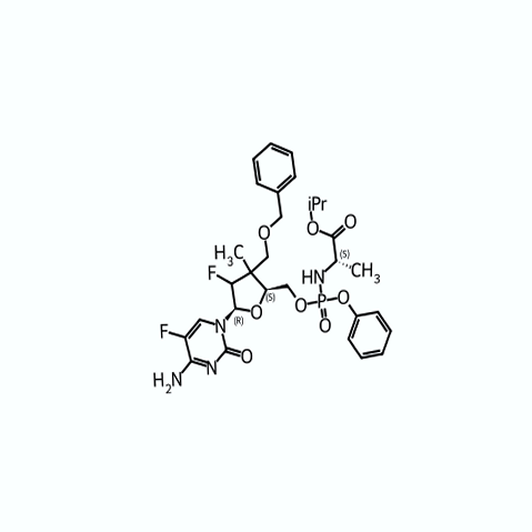 CC(C)OC(=O)[C@H](C)NP(=O)(OC[C@H]1O[C@@H](n2cc(F)c(N)nc2=O)C(F)C1(C)COCc1ccccc1)Oc1ccccc1